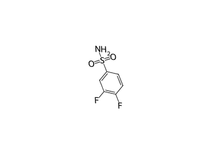 NS(=O)(=O)c1ccc(F)c(F)c1